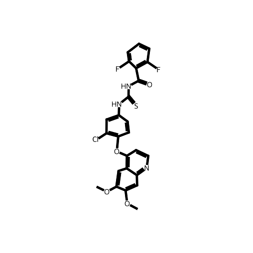 COc1cc2nccc(Oc3ccc(NC(=S)NC(=O)c4c(F)cccc4F)cc3Cl)c2cc1OC